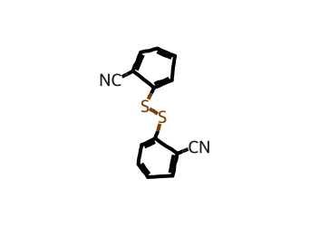 N#Cc1ccccc1SSc1ccccc1C#N